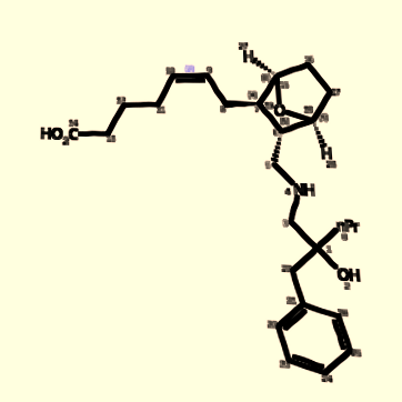 CCCC(O)(CNC[C@@H]1[C@@H](C/C=C\CCCC(=O)O)[C@H]2CC[C@@H]1O2)Cc1ccccc1